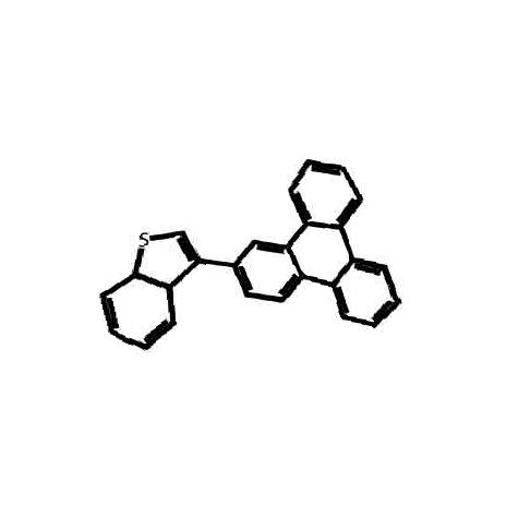 C1=CC2SC=C(c3ccc4c5ccccc5c5ccccc5c4c3)C2C=C1